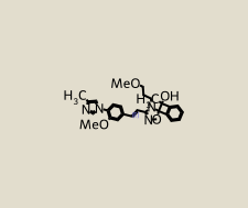 COCCCN1C(/C=C/c2ccc(-n3cnc(C)c3)c(OC)c2)=NOC12c1ccccc1C2(C)O